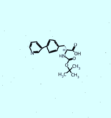 CC(C)(C)OC(=O)N[C@H](Cc1ccc(-c2cccnc2)cc1)C(=O)O